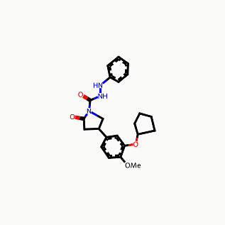 COc1ccc(C2CC(=O)N(C(=O)NNc3ccccc3)C2)cc1OC1CCCC1